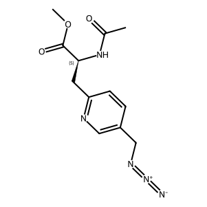 COC(=O)[C@H](Cc1ccc(CN=[N+]=[N-])cn1)NC(C)=O